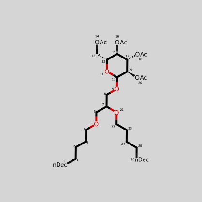 CCCCCCCCCCCCCCOCC(COC1O[C@H](COC(C)=O)[C@@H](OC(C)=O)[C@H](OC(C)=O)[C@H]1OC(C)=O)OCCCCCCCCCCCCCC